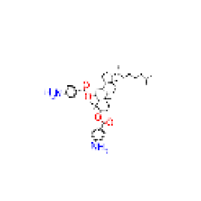 CC(C)=CCCCC(C)C1CCC2C3CC(OC(=O)c4ccc(N)cc4)C4C(C)(C)C(OC(=O)c5ccc(N)cc5)CCC4(C)C3CCC12C